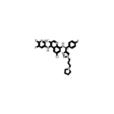 N#Cc1cnc2c(N[C@@H](c3ccc(F)cc3)c3cn(CCCN4CCCC4)nn3)cc(Cl)cc2c1Nc1cnc(F)c(F)c1